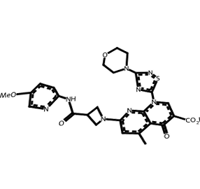 COc1ccc(NC(=O)C2CN(c3cc(C)c4c(=O)c(C(=O)O)cn(-c5nc(N6CCOCC6)ns5)c4n3)C2)nc1